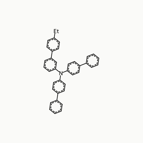 CCc1ccc(-c2cccc(N(c3ccc(-c4ccccc4)cc3)c3ccc(-c4ccccc4)cc3)c2)cc1